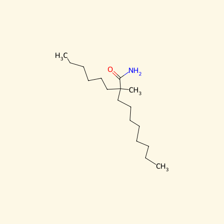 CCCCCCCCC(C)(CCCCCC)C(N)=O